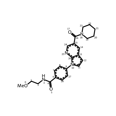 COCCNC(=O)c1ccc(-n2ccc3cc(C(=O)N4CCCCC4)cnc32)cc1